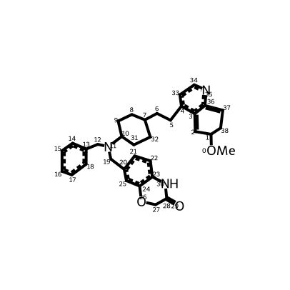 COC1C=c2c(CCC3CCC(N(Cc4ccccc4)Cc4ccc5c(c4)OCC(=O)N5)CC3)ccnc2=CC1